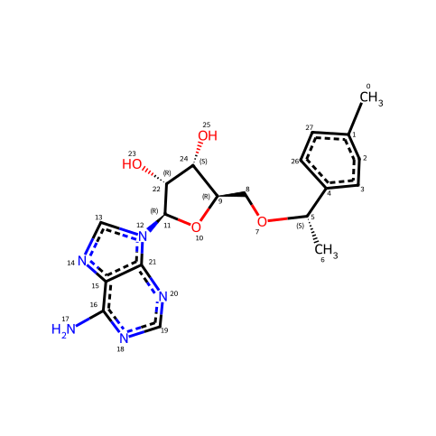 Cc1ccc([C@H](C)OC[C@H]2O[C@@H](n3cnc4c(N)ncnc43)[C@H](O)[C@@H]2O)cc1